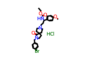 CCOC(=O)NC(CCN1CCC2(CC1)CCN(Cc1ccc(Br)cc1)C2=O)c1ccc(OC)cc1.Cl